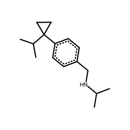 CC(C)NCc1ccc(C2(C(C)C)CC2)cc1